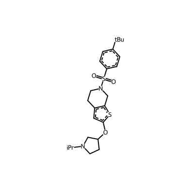 CC(C)N1CCC(Oc2cc3c(s2)CN(S(=O)(=O)c2ccc(C(C)(C)C)cc2)CC3)C1